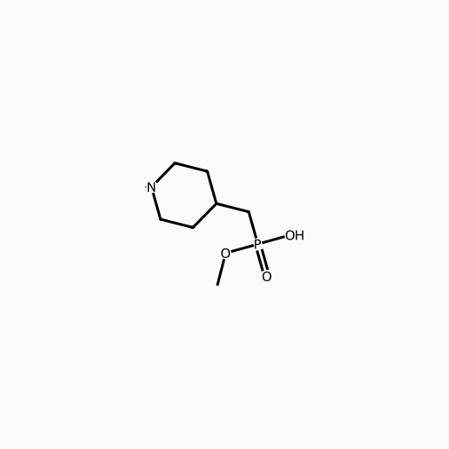 COP(=O)(O)CC1CC[N]CC1